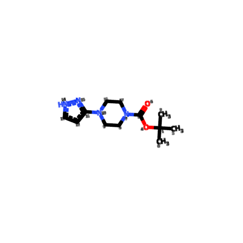 CC(C)(C)OC(=O)N1CCN(c2cc[nH]n2)CC1